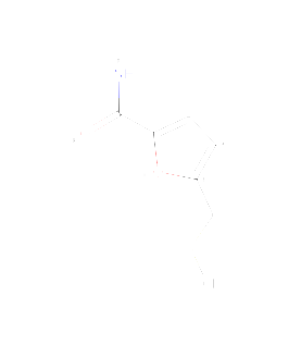 CSCc1ccc(C(N)=O)o1